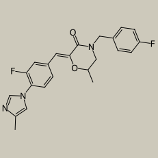 Cc1cn(-c2ccc(C=C3OC(C)CN(Cc4ccc(F)cc4)C3=O)cc2F)cn1